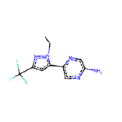 CCn1nc(C(F)(F)F)cc1-c1cnc(N)cn1